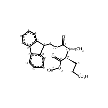 CN(C(=O)OCC1c2ccccc2-c2ccccc21)[C@@H](CCC(=O)O)C(=O)OC(C)(C)C